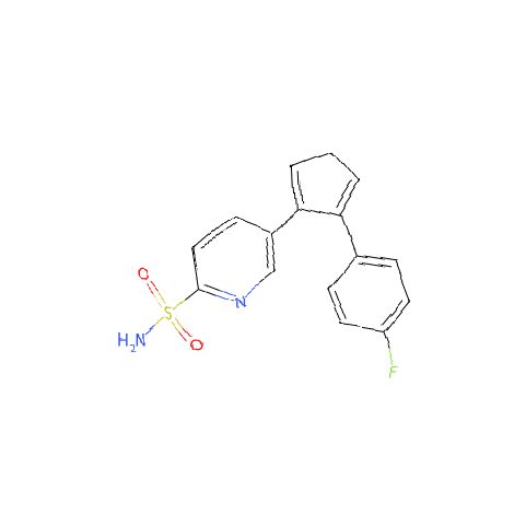 NS(=O)(=O)c1ccc(C2=CCC=C2c2ccc(F)cc2)cn1